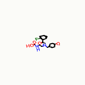 COc1ccc(CN(CCNC(=O)O)CC(=O)c2ccccc2F)cc1